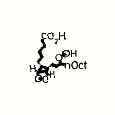 CCCCCCCCC(C=C[C@@H]1[C@@H](CCCCCC(=O)O)[C@H]2C[C@H]1OO2)OO